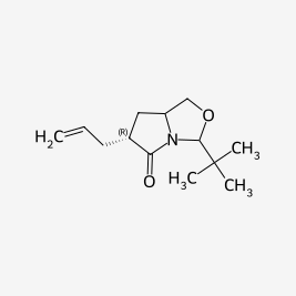 C=CC[C@@H]1CC2COC(C(C)(C)C)N2C1=O